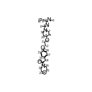 C/N=C(\N=C(/C)N1CCC(OCCOc2ccc(CC(=O)N3CCOCC3)cc2)CC1)C(C)C